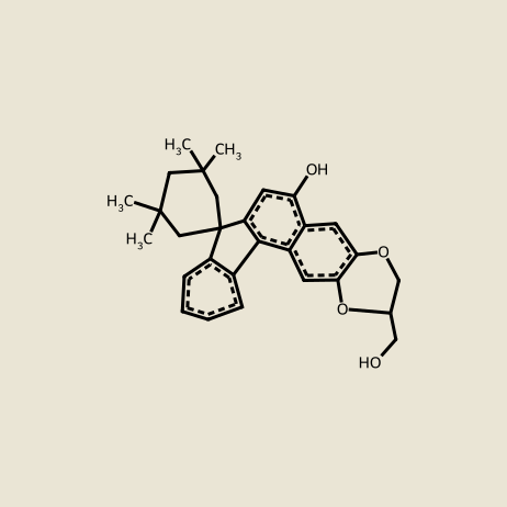 CC1(C)CC(C)(C)CC2(C1)c1ccccc1-c1c2cc(O)c2cc3c(cc12)OC(CO)CO3